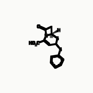 O=C(O)C1=CC(Sc2ccccc2)S[C@@H]2CC(=O)N12